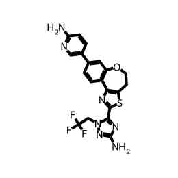 Nc1ccc(-c2ccc3c(c2)OCCc2sc(-c4nc(N)nn4CC(F)(F)F)nc2-3)cn1